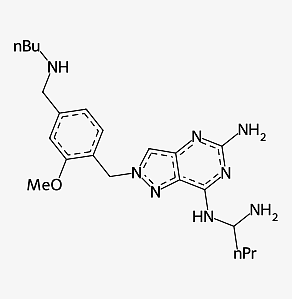 CCCCNCc1ccc(Cn2cc3nc(N)nc(NC(N)CCC)c3n2)c(OC)c1